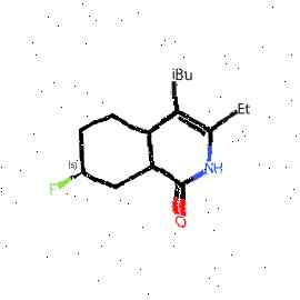 CCC1=C(C(C)CC)C2CC[C@H](F)CC2C(=O)N1